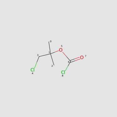 CC(C)(CCl)OC(=O)Cl